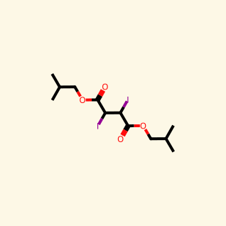 CC(C)COC(=O)C(I)C(I)C(=O)OCC(C)C